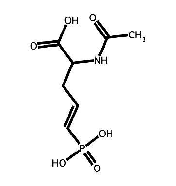 CC(=O)NC(C/C=C/P(=O)(O)O)C(=O)O